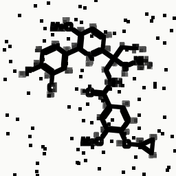 COc1cc(C(=O)NCC(CF)(SN)c2ccc(OC)c(-c3ccc(F)c(Cl)c3)n2)ccc1OC1CC1